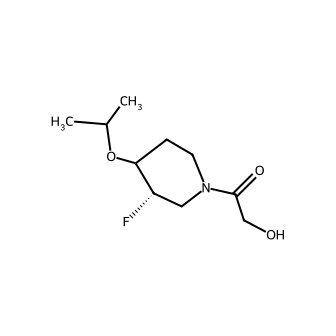 CC(C)OC1CCN(C(=O)CO)C[C@@H]1F